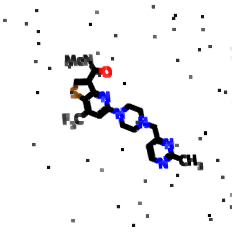 CNC(=O)c1csc2c(C(F)(F)F)cc(N3CCN(Cc4ccnc(C)n4)CC3)nc12